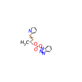 CC(COC(=O)On1nnc2ccccc21)SSc1ccccn1